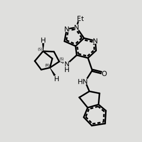 CCn1ncc2c(N[C@H]3C[C@H]4CC[C@@H]3C4)c(C(=O)NC3Cc4ccccc4C3)cnc21